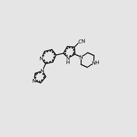 N#Cc1cc(-c2ccnc(-n3ccnc3)c2)[nH]c1N1CCNCC1